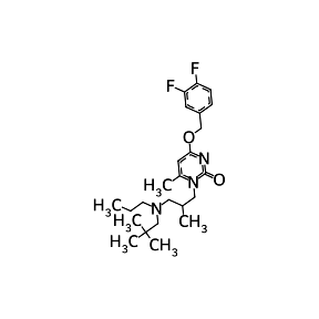 CCCN(CC(C)Cn1c(C)cc(OCc2ccc(F)c(F)c2)nc1=O)CC(C)(C)C